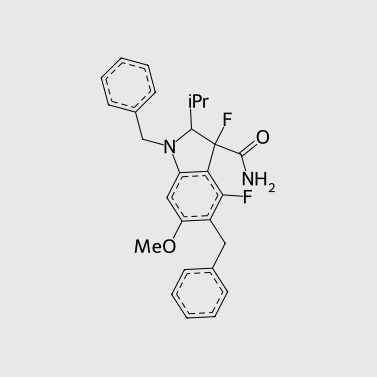 COc1cc2c(c(F)c1Cc1ccccc1)C(F)(C(N)=O)C(C(C)C)N2Cc1ccccc1